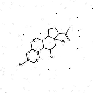 CC(=O)C1CCC2C3CCc4cc(O)ccc4C3C(O)CC12C